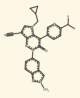 Cn1cc2cc(-n3nc4c(C#N)cn(CC5CC5)c4c(-c4ccc(C(F)F)nc4)c3=O)ccc2n1